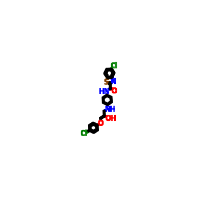 O=C(N[C@H]1CC[C@H](NCC(O)COc2ccc(Cl)cc2)CC1)c1nc2cc(Cl)ccc2s1